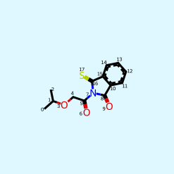 CC(C)OCC(=O)N1C(=O)c2ccccc2C1=S